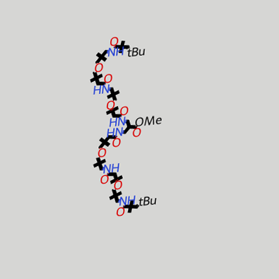 COC(=O)C(CNC(=O)CC(C)(C)COCC(C)(C)CNC(=O)CC(C)(C)OCC(C)(C)CNC(=O)C(C)(C)CC(C)(C)C)CNC(=O)CC(C)(C)OCC(C)(C)CNC(=O)CC(C)(C)COCC(C)(C)CNC(=O)C(C)(C)CC(C)(C)C